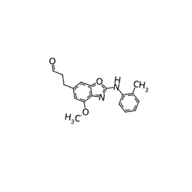 COc1cc(CCC=O)cc2oc(Nc3ccccc3C)nc12